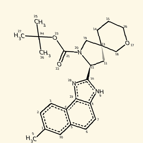 Cc1ccc2c(ccc3[nH]c([C@@H]4C[C@@]5(CCCOC5)CN4C(=O)OC(C)(C)C)nc32)c1